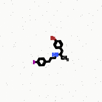 CC(Cc1ccc(Br)cc1)NCCCc1ccc(I)cc1